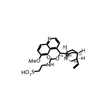 C=C[C@H]1C[N@]2CC[C@H]1C[C@@H]2[C@@H](OC(=O)NCCS(=O)(=O)O)c1ccnc2ccc(OC)cc12